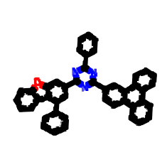 c1ccc(-c2nc(-c3cc(-c4ccccc4)c4c(c3)oc3ccccc34)nc(-c3ccc4c5ccccc5c5ccccc5c4c3)n2)cc1